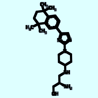 CC1(C)CCC(C)(C)c2cc(-c3csc(N4CCC(NC[C@@H](N)CO)CC4)n3)ccc21